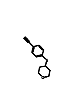 C#Cc1ccc(SC2CCOCC2)cc1